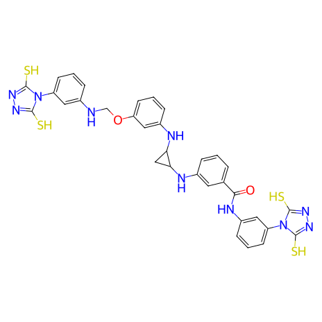 O=C(Nc1cccc(-n2c(S)nnc2S)c1)c1cccc(NC2CC2Nc2cccc(OCNc3cccc(-n4c(S)nnc4S)c3)c2)c1